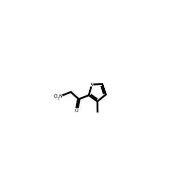 Cc1ccsc1C(=O)C[N+](=O)[O-]